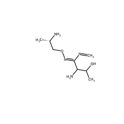 C=N/C(=N\OC[C@H](C)N)C(N)C(C)O